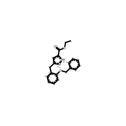 CCOC(=O)c1cc(Cc2ccccc2OCc2ccccc2)n[nH]1